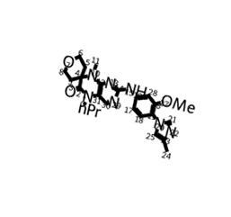 CCCN1C(=O)C2(CCOCC2)N(C)c2nc(Nc3ccc(-n4cnc(C)c4)c(OC)c3)ncc21